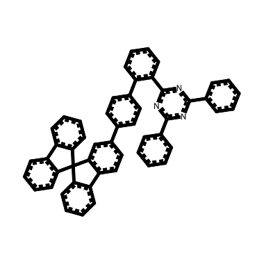 c1ccc(-c2nc(-c3ccccc3)nc(-c3ccccc3-c3ccc(-c4ccc5c(c4)C4(c6ccccc6-c6ccccc64)c4ccccc4-5)cc3)n2)cc1